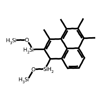 CC1=C([SiH2]O[SiH3])C([SiH2]O[SiH3])c2cccc3c(C)c(C)c(C)c1c23